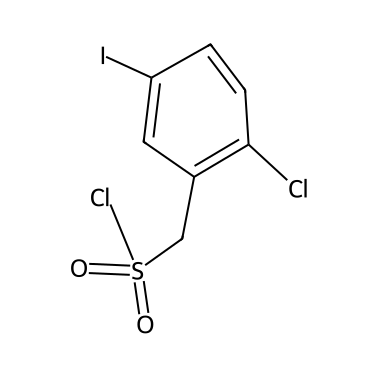 O=S(=O)(Cl)Cc1cc(I)ccc1Cl